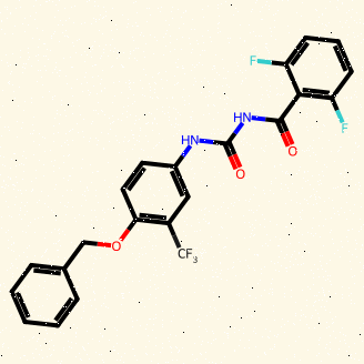 O=C(NC(=O)c1c(F)cccc1F)Nc1ccc(OCc2ccccc2)c(C(F)(F)F)c1